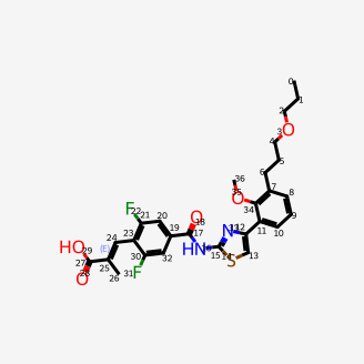 CCCOCCCc1cccc(-c2csc(NC(=O)c3cc(F)c(/C=C(\C)C(=O)O)c(F)c3)n2)c1OC